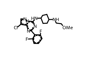 COCCNC1CCC(Nc2nc(-c3c(F)cccc3F)nc3c(Cl)cnn23)CC1